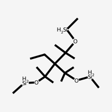 CCC(C(C)(C)O[SiH2]C)(C(C)(C)O[SiH2]C)C(C)(C)O[SiH2]C